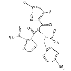 CC(=O)c1sccc1C(=O)N(C(=O)c1ncc(Cl)cc1Cl)C(Cc1ccc(N)cc1)C(=O)O